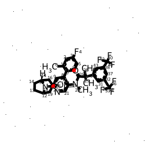 Cc1cc(F)ccc1-c1cc(N2C3CC[C@@H]2CC(O)C3)ncc1N(C)C(=O)C(C)(C)c1cc(C(F)(F)F)cc(C(F)(F)F)c1